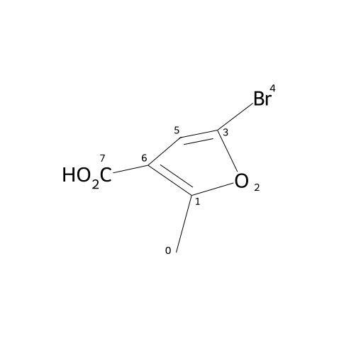 Cc1oc(Br)cc1C(=O)O